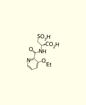 CCOc1cccnc1C(=O)N[C@@H](CS(=O)(=O)O)C(=O)O